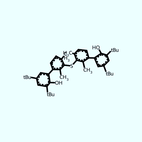 Cc1ccc(-c2cc(C(C)(C)C)cc(C(C)(C)C)c2O)c(C)c1Sc1c(C)ccc(-c2cc(C(C)(C)C)cc(C(C)(C)C)c2O)c1C